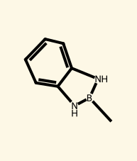 CB1Nc2ccccc2N1